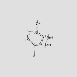 Cc1ccc(O)cc1.[SeH][SeH]